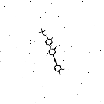 Cc1cc(-n2ccc(C#Cc3ccc(F)c(F)c3)cc2=O)ccc1OCC(C)(C)C